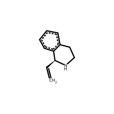 C=C[C@@H]1NCCc2ccccc21